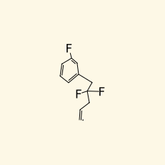 [CH]=CCC(F)(F)Cc1cccc(F)c1